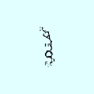 CCN1CC2C(CNCc3cccc(OC(F)(F)F)c3)C2C1